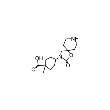 CC1(C(=O)O)CCC(N2CC3(CCNCC3)OC2=O)CC1